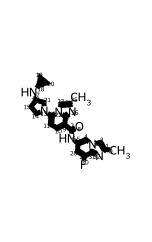 Cc1cn2cc(NC(=O)c3ccc(N4CC[C@@H](NC5CC5)C4)n4cc(C)nc34)cc(F)c2n1